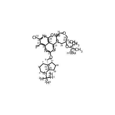 [2H]C([2H])([2H])N1CCC[C@@]2(COc3nc(N4CCOC[C@@](C)(O[Si](C)(C)C(C)(C)C)C4)c4c(OC)nc(Cl)c(F)c4n3)CCC[C@@H]12